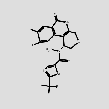 CN(C(=O)c1cnc(C(F)(F)F)[nH]1)[C@H]1COCc2[nH]c(=O)c3cc(F)c(F)cc3c21